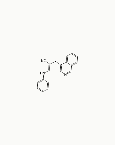 N#CC(=CNc1ccccc1)Cc1cncc2ccccc12